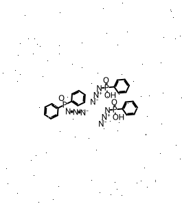 [N-]=[N+]=NP(=O)(O)c1ccccc1.[N-]=[N+]=NP(=O)(O)c1ccccc1.[N-]=[N+]=NP(=O)(c1ccccc1)c1ccccc1